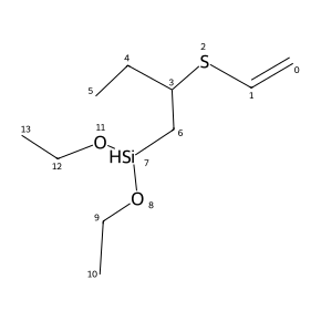 C=CSC(CC)C[SiH](OCC)OCC